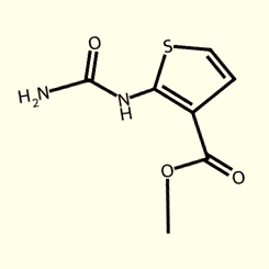 COC(=O)c1ccsc1NC(N)=O